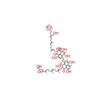 C/C(=C\CC/C(C)=C/C[C@]1(O)C(=O)c2c(O)cc(COc3c(C)c(O)c4c(C)cc(O)c5c4c3C(=O)[C@](O)(C/C=C(\C)CC/C=C(\C)CC/C=C(\C)CC[C@@H](O)C(C)(C)O)C5=O)c3c(O)c(C)c(O)c(c23)C1=O)CC/C=C(\CO)CCC1OC(C)(C)OC1(C)C